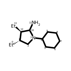 CC[C@H]1CN(C2CCCCC2)C(N)[C@@H]1CC